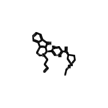 C=CCCN1CCc2c([nH]c3ccccc23)[C@H]1c1cnc(N[C@H]2CCN(CCC)C2)cn1